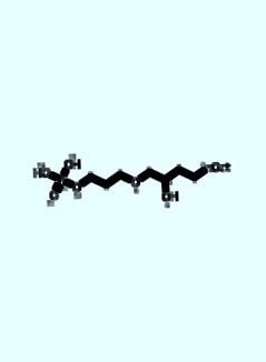 CCCCCCCCCCC(O)COCCCOP(=O)(O)O